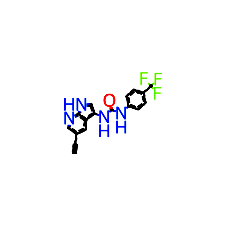 C#Cc1cnc2[nH]cc(NC(=O)Nc3ccc(C(F)(F)F)cc3)c2c1